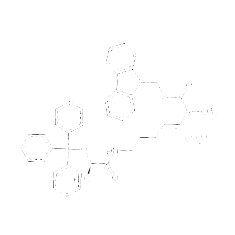 C[C@@H](OC(c1ccccc1)(c1ccccc1)c1ccccc1)C(=O)NCCCC[C@@H](C(=O)O)N(C)C(=O)OCC1c2ccccc2-c2ccccc21